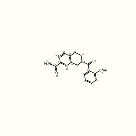 COc1ccccc1C(=O)N1CCc2[c]nc(C(N)=O)nc2C1